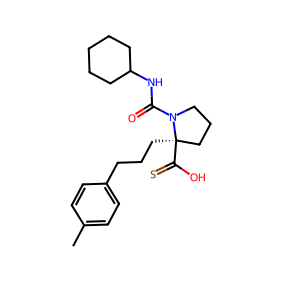 Cc1ccc(CCC[C@@]2(C(O)=S)CCCN2C(=O)NC2CCCCC2)cc1